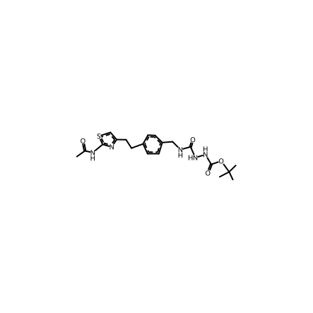 CC(=O)Nc1nc(CCc2ccc(CNC(=O)NNC(=O)OC(C)(C)C)cc2)cs1